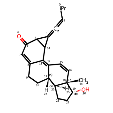 CC(C)C=C=C1C2C(=O)C=C3CC[C@@H]4C(=C3C12)C=C[C@]1(C)[C@H](O)CC[C@@H]41